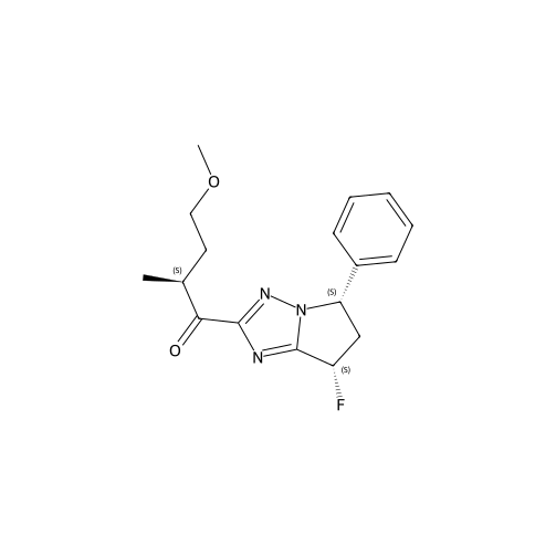 COCC[C@H](C)C(=O)c1nc2n(n1)[C@H](c1ccccc1)C[C@@H]2F